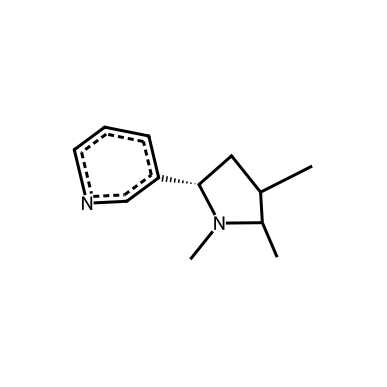 CC1C[C@@H](c2cccnc2)N(C)C1C